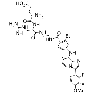 CCc1cc(Nc2nccn3c(-c4ccc(OC)c(F)c4F)cnc23)ccc1C(=O)NCCNC(=O)C(CNC(=N)N)NC(=O)[C@@H](N)CCC(=O)O